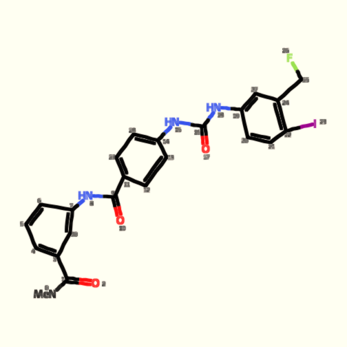 CNC(=O)c1cccc(NC(=O)c2ccc(NC(=O)Nc3ccc(I)c(CF)c3)cc2)c1